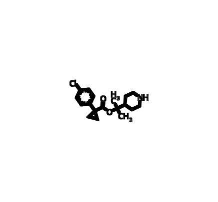 CC(C)(OC(=O)C1(c2ccc(Cl)cc2)CC1)C1CCNCC1